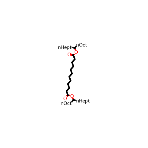 CCCCCCCCC(CCCCCCC)OC(=O)CCCCCCCCCCC(=O)OC(CCCCCCC)CCCCCCCC